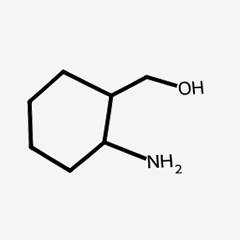 NC1CCCCC1CO